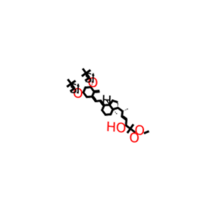 C=C1/C(=C\C=C2/CCC[C@]3(C)[C@@H]([C@H](C)/C=C/[C@@H](O)C(C)(C)C(=O)OCC)CC[C@@H]23)C[C@@H](O[Si](C)(C)C(C)(C)C)C[C@@H]1O[Si](C)(C)C(C)(C)C